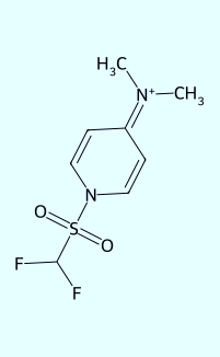 C[N+](C)=c1ccn(S(=O)(=O)C(F)F)cc1